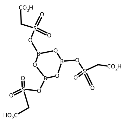 O=C(O)CS(=O)(=O)OB1OB(OS(=O)(=O)CC(=O)O)OB(OS(=O)(=O)CC(=O)O)O1